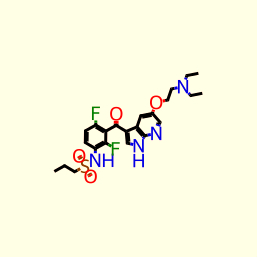 CCCS(=O)(=O)Nc1ccc(F)c(C(=O)c2c[nH]c3ncc(OCCN(CC)CC)cc23)c1F